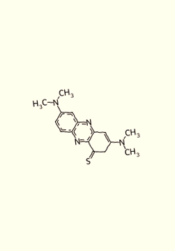 CN(C)C1=Cc2nc3cc(N(C)C)ccc3nc2C(=S)C1